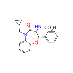 O=C(O)N[C@@H]1C(=O)N(CC2CC2)c2ccccc2O[C@@H]1c1ccccc1